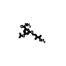 C/C(N)=C(/C)CCOc1cc(OC(C)C)cc(C(N)=O)c1